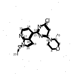 C[C@@H]1COCCN1c1cc(Cl)nc(-c2ccnc3c2ccn3SI)n1